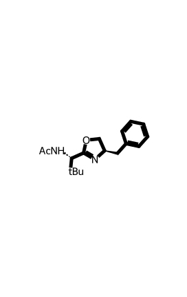 CC(=O)N[C@H](C1=N[C@H](Cc2ccccc2)CO1)C(C)(C)C